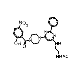 CC(=O)NCCNc1cc(N2CCN(C(=O)c3cc([N+](=O)[O-])ccc3O)CC2)nc(-c2ccccc2)n1